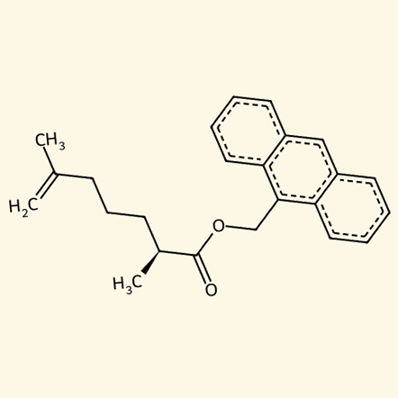 C=C(C)CCC[C@H](C)C(=O)OCc1c2ccccc2cc2ccccc12